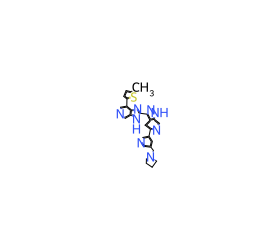 Cc1ccc(-c2cncc3[nH]c(-c4n[nH]c5cnc(-c6cncc(CN7CCCC7)c6)cc45)nc23)s1